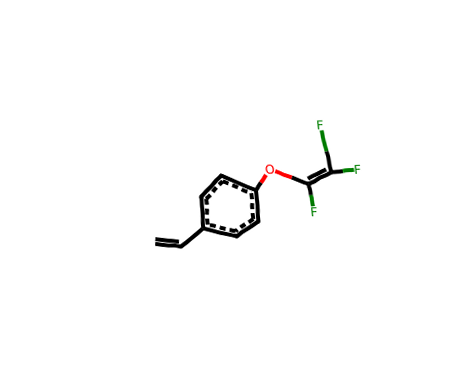 C=Cc1ccc(OC(F)=C(F)F)cc1